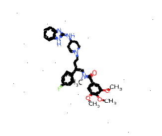 COc1cc(C(=O)N(C)CC(CCN2CCC(Nc3nc4ccccc4[nH]3)CC2)c2ccc(F)cc2)cc(OC)c1OC